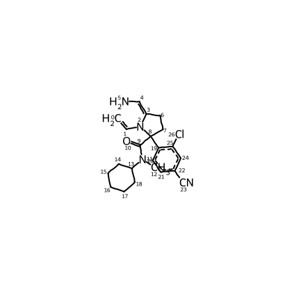 C=CN1/C(=C\N)CCC1(C(=O)N(C)C1CCCCC1)c1ccc(C#N)cc1Cl